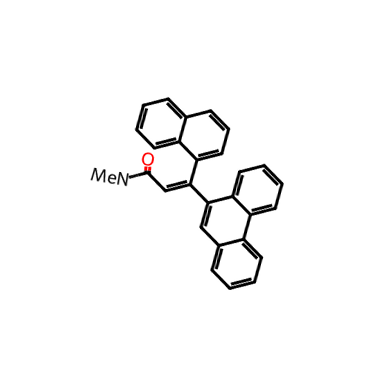 CNC(=O)/C=C(\c1cccc2ccccc12)c1cc2ccccc2c2ccccc12